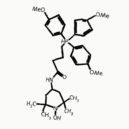 COc1ccc([PH](CCCC(=O)NC2CC(C)(C)N(O)C(C)(C)C2)(c2ccc(OC)cc2)c2ccc(OC)cc2)cc1